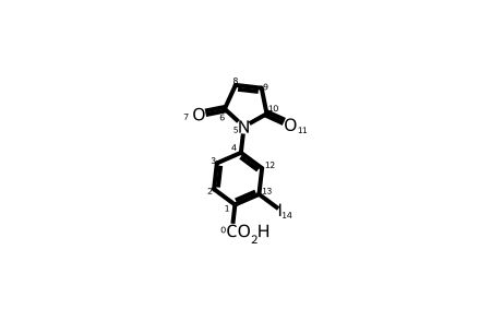 O=C(O)c1ccc(N2C(=O)C=CC2=O)cc1I